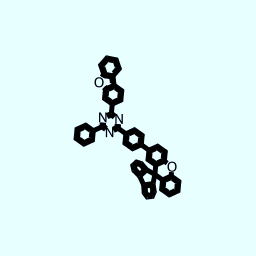 c1ccc(-c2nc(-c3ccc(-c4ccc5c(c4)C4(c6ccccc6O5)c5ccccc5-c5ccccc54)cc3)nc(-c3ccc4c(c3)oc3ccccc34)n2)cc1